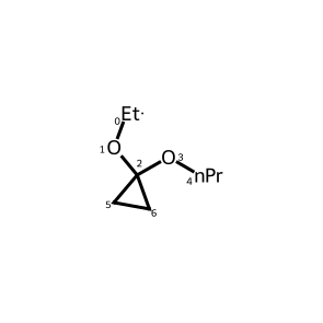 C[CH]OC1(OCCC)CC1